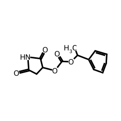 CC(OC(=O)OC1CC(=O)NC1=O)c1ccccc1